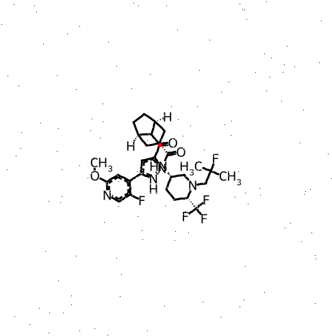 COc1cc(-c2cc(C(=O)C3[C@@H]4CC[C@H]3C[C@H](C(=O)N[C@H]3CC[C@@H](C(F)(F)F)N(CC(C)(C)F)C3)C4)n[nH]2)c(F)cn1